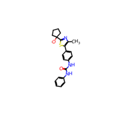 Cc1nc(C2([O])CCCC2)sc1-c1ccc(NC(=O)Nc2ccccc2)cc1